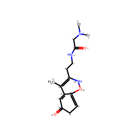 CCN(CC)CC(=O)NCCC1=C(C)C2=CC(=O)CC=C2ON1